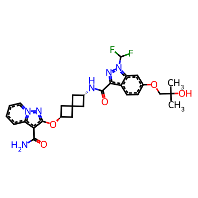 CC(C)(O)COc1ccc2c(C(=O)N[C@H]3CC4(C3)C[C@H](Oc3nn5ccccc5c3C(N)=O)C4)nn(C(F)F)c2c1